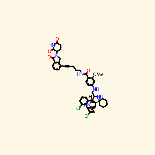 COc1cc(NCC2NC3(CCCCC3)[C@]34C(=O)Nc5cc(Cl)c(cc53)-c3c(Cl)cccc3[C@@H]24)ccc1C(=O)NCCCC#Cc1cccc2c1CN(C1CCC(=O)NC1=O)C2=O